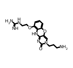 N=C(N)NCCOc1cccc2c1Nc1nc(=O)n(CCCN)cc1O2